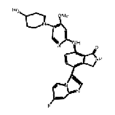 COc1cc(Nc2ccc(-c3cnc4cc(F)ccn34)c3c2C(=O)NC3)ncc1N1CCC(O)CC1